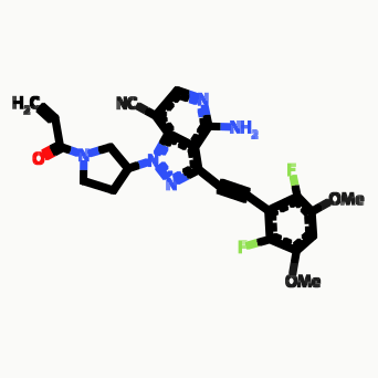 C=CC(=O)N1CCC(n2nc(C#Cc3c(F)c(OC)cc(OC)c3F)c3c(N)ncc(C#N)c32)C1